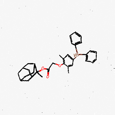 Cc1cc([SH](c2ccccc2)c2ccccc2)cc(C)c1OCC(=O)OC1(C)C2CC3CC(C2)CC1C3